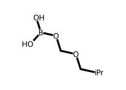 CC(C)COCOB(O)O